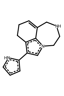 C1=C2CNCCn3cc(-c4ccc[nH]4)c(c32)CC1